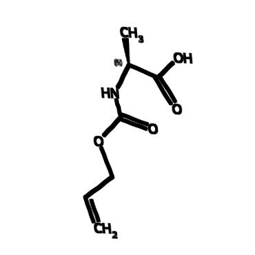 C=CCOC(=O)N[C@@H](C)C(=O)O